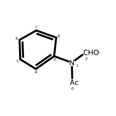 CC(=O)N([C]=O)c1ccccc1